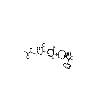 CC(=O)NC[C@H]1CN(c2cc(F)c(N3CCNN(C(=O)c4ccco4)CC3)c(F)c2)C(=O)O1